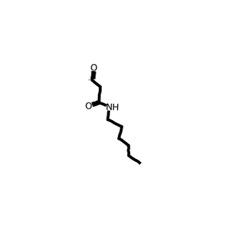 CCCCCCNC(=O)C[C]=O